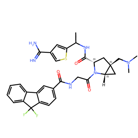 CC(NC(=O)[C@@H]1C[C@]2(CN(C)C)C[C@@H]2N1C(=O)CNC(=O)c1ccc2c(c1)-c1ccccc1C2(F)F)c1cc(C(=N)N)cs1